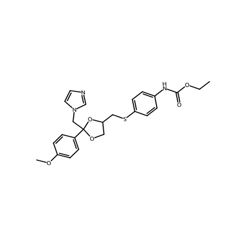 CCOC(=O)Nc1ccc(SCC2COC(Cn3ccnc3)(c3ccc(OC)cc3)O2)cc1